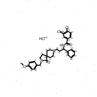 COc1ccc(CN2CCC3(CCN(CCC(NC(=O)c4ccc(Cl)c(Cl)c4)c4ccccc4)CC3)C2=O)cc1.Cl